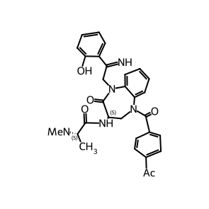 CN[C@@H](C)C(=O)N[C@H]1CN(C(=O)c2ccc(C(C)=O)cc2)c2ccccc2N(CC(=N)c2ccccc2O)C1=O